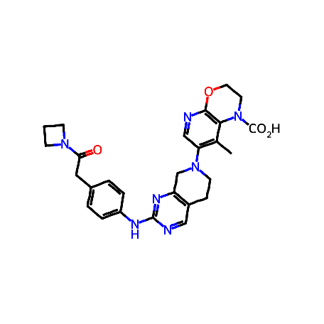 Cc1c(N2CCc3cnc(Nc4ccc(CC(=O)N5CCC5)cc4)nc3C2)cnc2c1N(C(=O)O)CCO2